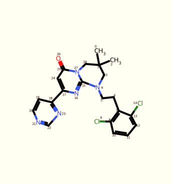 CC1(C)CN(CCc2c(Cl)cccc2Cl)c2nc(-c3ccncn3)cc(=O)n2C1